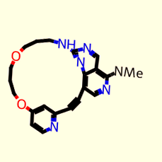 CNc1ncc2c3nc(ncc13)NCCCOCCCOc1ccnc(c1)C#C2